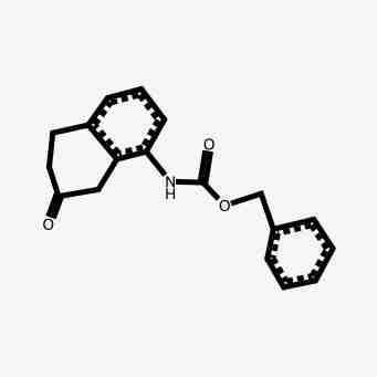 O=C1CCc2cccc(NC(=O)OCc3ccccc3)c2C1